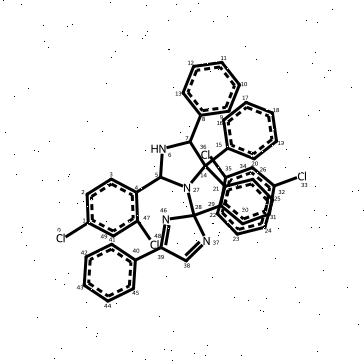 Clc1ccc(C2NC(c3ccccc3)C(c3ccccc3)(c3ccccc3)N2C2(c3ccc(Cl)cc3Cl)N=CC(c3ccccc3)=N2)c(Cl)c1